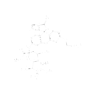 COC(=O)C1(Oc2ccc3c(c2)Oc2cc(OCC(=O)O)ccc2C32OC(=O)c3ccccc32)CC(OC(C)=O)C(NC(C)=O)C([C@H](OC(C)=O)[C@@H](COC(C)=O)OC(C)=O)O1